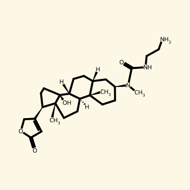 CN(C(=O)NCCN)[C@H]1CC[C@@]2(C)[C@H](CC[C@@H]3[C@@H]2CC[C@]2(C)[C@@H](C4=CC(=O)OC4)CC[C@]32O)C1